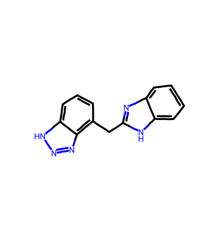 c1ccc2[nH]c(Cc3cccc4[nH]nnc34)nc2c1